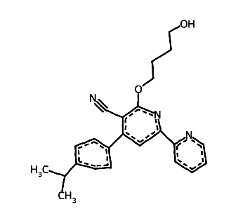 CC(C)c1ccc(-c2cc(-c3ccccn3)nc(OCCCCO)c2C#N)cc1